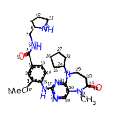 COc1cc(C(=O)NC[C@H]2CCCN2)ccc1Nc1ncc2c(n1)N(C1CCCC1)CCC(=O)N2C